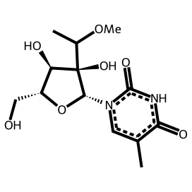 COC(C)[C@@]1(O)[C@H](O)[C@@H](CO)O[C@H]1n1cc(C)c(=O)[nH]c1=O